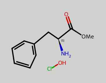 COC(=O)[C@@H](N)Cc1ccccc1.OCl